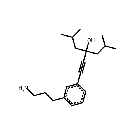 CC(C)CC(O)(C#Cc1cccc(CCCN)c1)CC(C)C